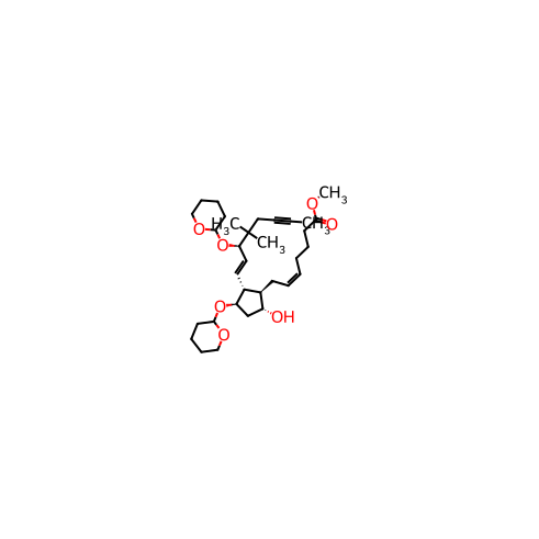 CC#CCC(C)(C)[C@@H](/C=C/[C@@H]1[C@@H](C/C=C\CCCC(=O)OC)[C@H](O)C[C@H]1OC1CCCCO1)OC1CCCCO1